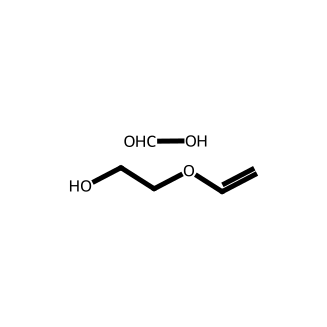 C=COCCO.O=CO